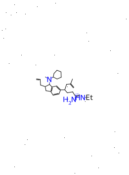 C=CCC1Cc2ccc(C(CC/C(N)=C/NCC)CC(=C)C)cc2C1N(C)C1CCCCC1